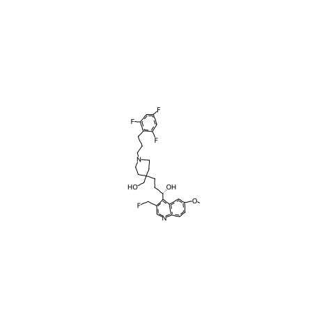 COc1ccc2ncc(CF)c([C@@H](O)CCC3(CO)CCN(CCCc4c(F)cc(F)cc4F)CC3)c2c1